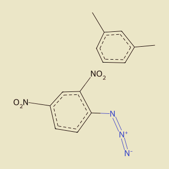 Cc1cccc(C)c1.[N-]=[N+]=Nc1ccc([N+](=O)[O-])cc1[N+](=O)[O-]